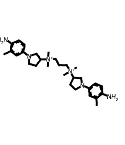 Cc1cc(N2CCC([N+](C)(C)CCC[N+](C)(C)C3CCN(c4ccc(N)c(C)c4)C3)C2)ccc1N